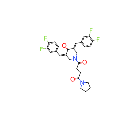 O=C1C(=Cc2ccc(F)c(F)c2)CN(C(=O)CCC(=O)N2CCCC2)CC1=Cc1ccc(F)c(F)c1